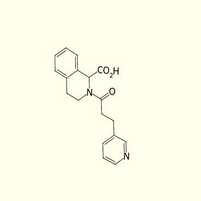 O=C(O)C1c2ccccc2CCN1C(=O)CCc1cccnc1